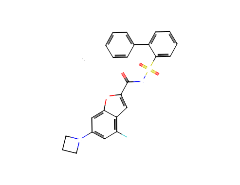 O=C([N-]S(=O)(=O)c1ccccc1-c1ccccc1)c1cc2c(F)cc(N3CCC3)cc2o1.[Na+]